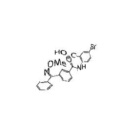 CON=C(c1ccccc1)c1cccc(C(=O)Nc2ccc(Br)cc2C(=O)O)c1